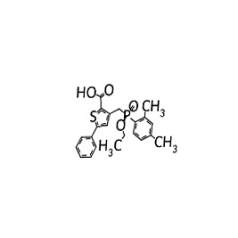 CCOP(=O)(Cc1cc(-c2ccccc2)sc1C(=O)O)c1ccc(C)cc1C